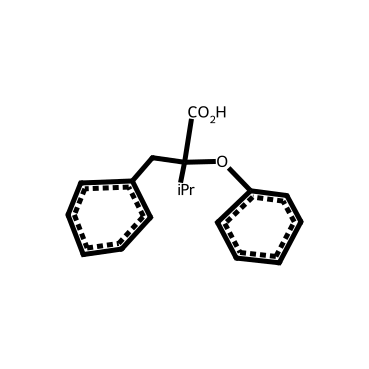 CC(C)C(Cc1ccccc1)(Oc1ccccc1)C(=O)O